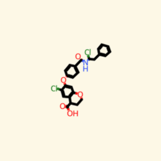 O=C(NC(Cl)Cc1ccccc1)c1ccc(Oc2cc3c(cc2Cl)C(C(=O)O)CCO3)cc1